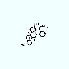 C[C@]12CC[C@@H]3c4ccc(O)c(/C(=C/N)c5ccccc5)c4CC[C@H]3[C@@H]1CC[C@@H]2O